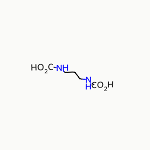 O=C(O)NCCCNC(=O)O